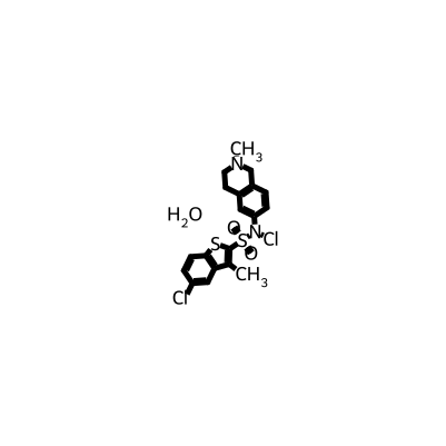 Cc1c(S(=O)(=O)N(Cl)c2ccc3c(c2)CCN(C)C3)sc2ccc(Cl)cc12.O